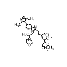 C=C/C(=C\C(Cl)=C(/C=C)OC)CCc1nc2cc(-c3c(C)noc3C)ccc2n1C[C@H](C)N1CCOCC1